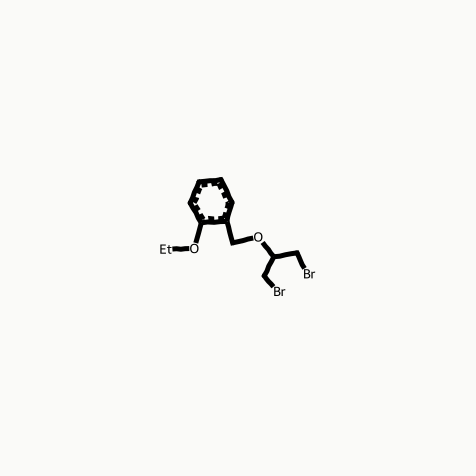 CCOc1ccccc1COC(CBr)CBr